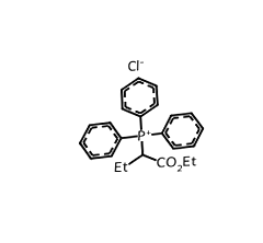 CCOC(=O)C(CC)[P+](c1ccccc1)(c1ccccc1)c1ccccc1.[Cl-]